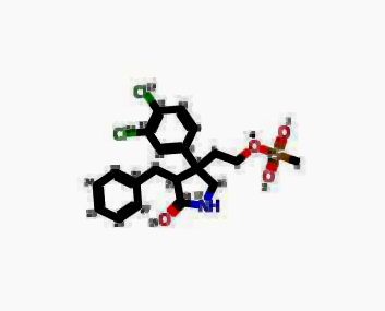 CS(=O)(=O)OCCC1(c2ccc(Cl)c(Cl)c2)CNC(=O)C1Cc1ccccc1